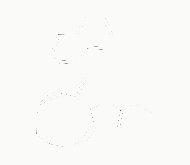 CCC(=O)OC1C#CCCCCC#C/C1=C\c1cccc2ccccc12